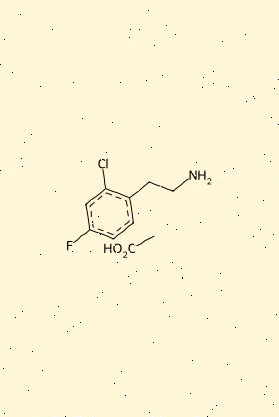 CC(=O)O.NCCc1ccc(F)cc1Cl